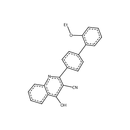 CCOc1ccccc1-c1ccc(-c2nc3ccccc3c(O)c2C#N)cc1